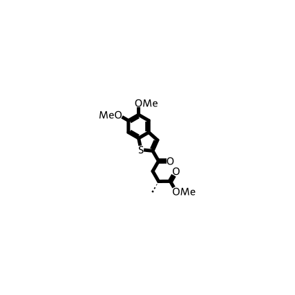 COC(=O)[C@H](C)CC(=O)c1cc2cc(OC)c(OC)cc2s1